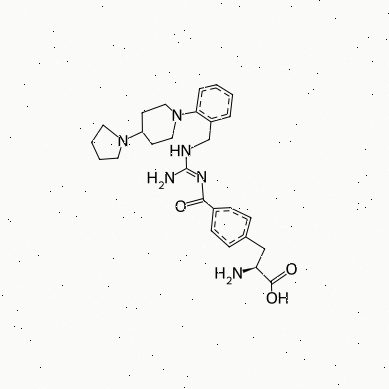 N/C(=N\C(=O)c1ccc(C[C@H](N)C(=O)O)cc1)NCc1ccccc1N1CCC(N2CCCC2)CC1